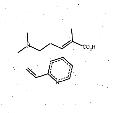 C=Cc1ccccn1.CC(=CCCN(C)C)C(=O)O